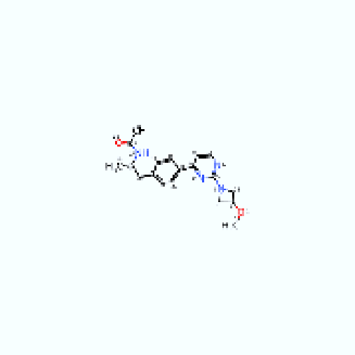 COC1CN(c2nccc(-c3ccc(CC(C)NC(C)=O)cc3)n2)C1